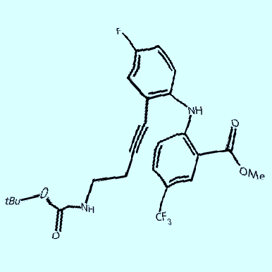 COC(=O)c1cc(C(F)(F)F)ccc1Nc1ccc(F)cc1C#CCCNC(=O)OC(C)(C)C